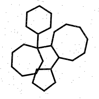 C1CCCC(C2CCCC2)[C](C2(C3CCCCC3)CCCCCC2)CC1